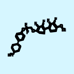 CCC[C@H]1CC[C@H](c2ccc(OC(F)(F)COc3ccc(-c4ccc(OCC)c(F)c4F)c(F)c3F)cc2)CC1